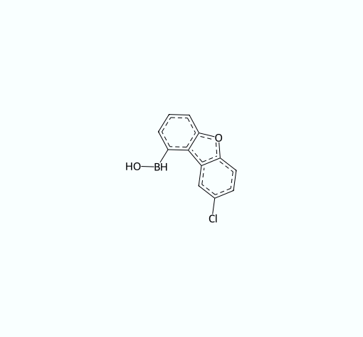 OBc1cccc2oc3ccc(Cl)cc3c12